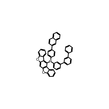 c1ccc(-c2cccc(-c3cccc(N(c4ccc(-c5ccc6ccccc6c5)cc4)c4c5c(cc6oc7ccccc7c46)oc4ccccc45)c3)c2)cc1